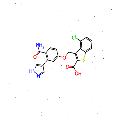 NC(=O)c1ccc(OCc2c(C(=O)O)sc3cccc(Cl)c23)cc1-c1cn[nH]c1